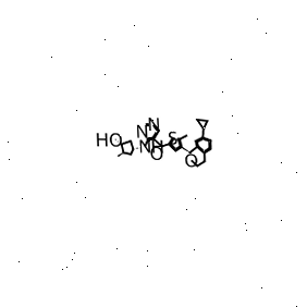 Cc1sc(C(=O)c2cncnc2N[C@@H]2C[C@@H](C)[C@H](O)C2)cc1[C@@H]1OCCc2ccc(C3CC3)cc21